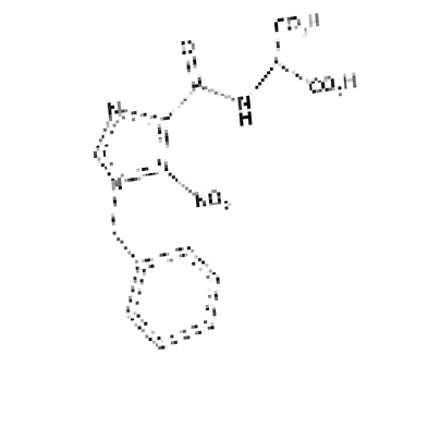 O=C(NC(C(=O)O)C(=O)O)c1ncn(Cc2ccccc2)c1[N+](=O)[O-]